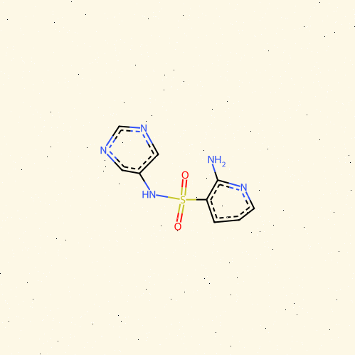 Nc1ncccc1S(=O)(=O)Nc1cncnc1